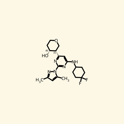 Cc1cc(C)n(-c2nc(NC3CCC(F)(F)CC3)cc([C@H]3COCC[C@H]3O)n2)n1